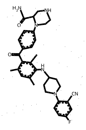 Cc1cc(C)c(C(=O)c2ccc(N3CCNCC3C(N)=O)cc2)c(C)c1NC1CCN(c2ccc(F)cc2C#N)CC1